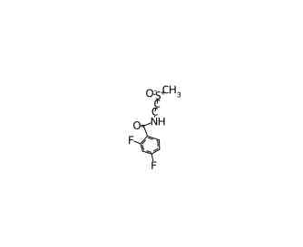 C[S+]([O-])CCNC(=O)c1ccc(F)cc1F